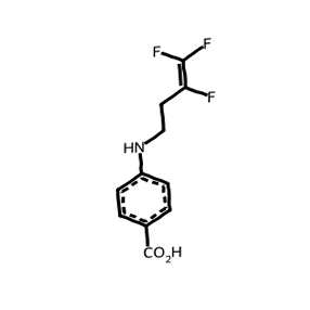 O=C(O)c1ccc(NCCC(F)=C(F)F)cc1